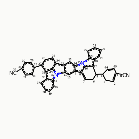 N#CC1=CCC(C2CC=c3c4cc5c(cc4n4c3c2c2ccccc24)c2ccc(-c3ccc(C#N)cc3)c3c4ccccc4n5c23)C=C1